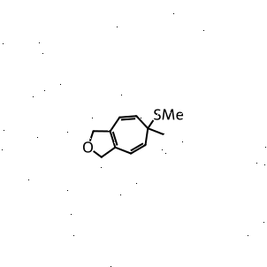 CSC1(C)C=CC2=C(C=C1)COC2